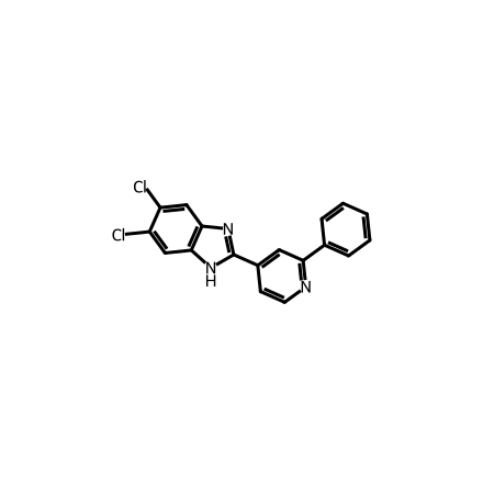 Clc1cc2nc(-c3ccnc(-c4ccccc4)c3)[nH]c2cc1Cl